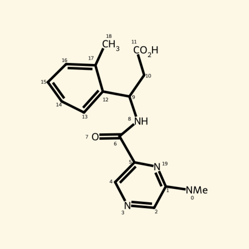 CNc1cncc(C(=O)NC(CC(=O)O)c2ccccc2C)n1